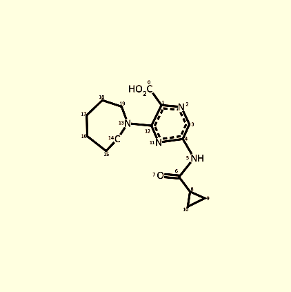 O=C(O)c1ncc(NC(=O)C2CC2)nc1N1CCCCCC1